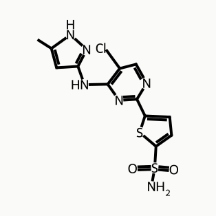 Cc1cc(Nc2nc(-c3ccc(S(N)(=O)=O)s3)ncc2Cl)n[nH]1